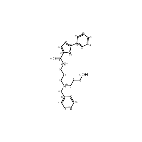 O=C(NCCCN(CCCO)Cc1ccccc1)c1ccc(-c2ccccc2)s1